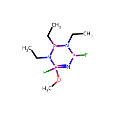 CCN1P(F)N=P(F)(OC)N(CC)P1CC